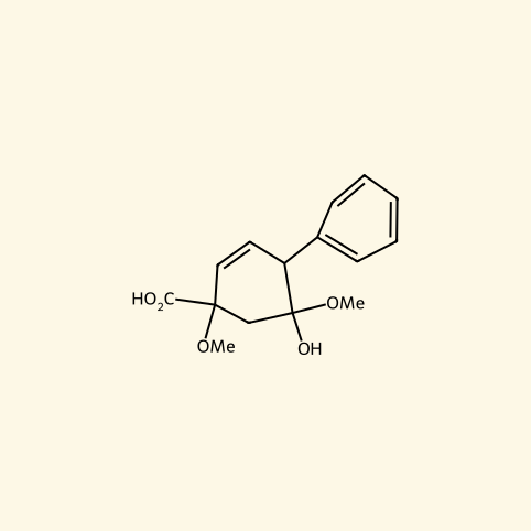 COC1(C(=O)O)C=CC(c2ccccc2)C(O)(OC)C1